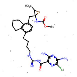 CC(C)(C)OC(=O)N[C@@]1(Cc2ccc(CCCCNC(=N)NC(=O)c3nc(Cl)c(N)nc3N)c3c2CCCC3)SC1C(=O)O